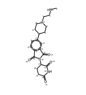 CNCCN1CCC(c2ccc3c(c2)C(=O)N(C2CCC(=O)NC2=O)C3=O)CC1